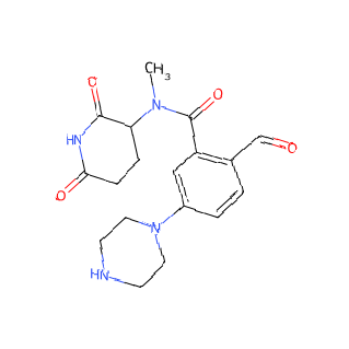 CN(C(=O)c1cc(N2CCNCC2)ccc1C=O)C1CCC(=O)NC1=O